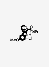 COc1ccc2[nH]c3c(c2c1)C1CCN(C1)C3C(=O)OC(C)C.Cl